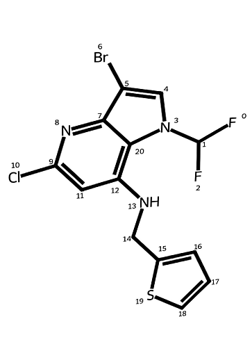 FC(F)n1cc(Br)c2nc(Cl)cc(NCc3cccs3)c21